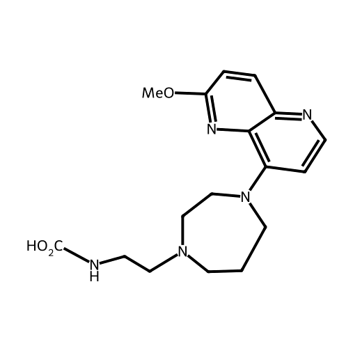 COc1ccc2nccc(N3CCCN(CCNC(=O)O)CC3)c2n1